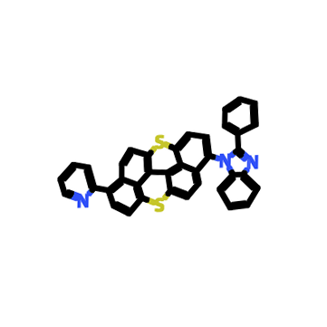 c1ccc(-c2nc3ccccc3n2-c2ccc3sc4ccc5c(-c6ccccn6)ccc6sc7ccc2c3c7-c4c65)cc1